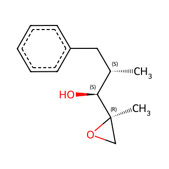 C[C@@H](Cc1ccccc1)[C@H](O)[C@@]1(C)CO1